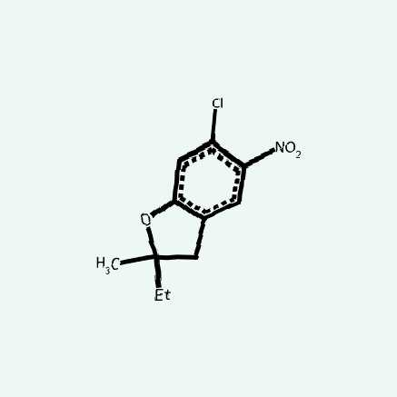 CCC1(C)Cc2cc([N+](=O)[O-])c(Cl)cc2O1